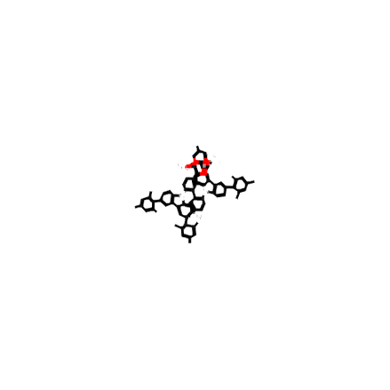 Cc1cc(C)c(-c2ccc3c(c2)c2cc(-c4c(C)cc(C)cc4C)ccc2n3-c2ccc(C#N)cc2-c2cc(-c3ccc(C(F)(F)F)cc3C#N)ccc2-n2c3ccc(-c4c(C)cc(C)cc4C)cc3c3cc(-c4c(C)cc(C)cc4C)ccc32)c(C)c1